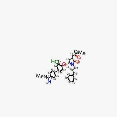 CN=C(NC)c1ccc(-c2ccc(OC[C@@H]3C[C@@H](CC(=O)OC)C(=O)N3CCCc3ccccc3)cc2)cc1.Cl